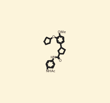 COc1ccc(C2CCC(C(=O)Nc3ccc(NC(C)=O)cc3)C2)cc1OC1CCCC1